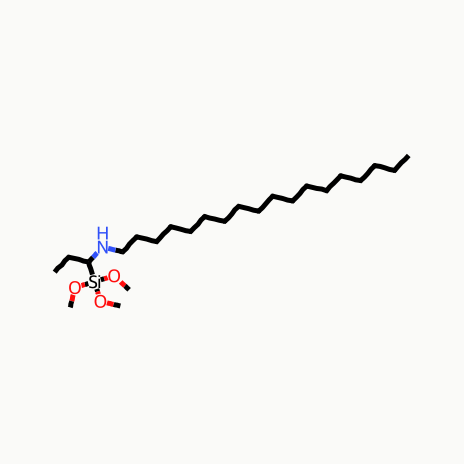 CCCCCCCCCCCCCCCCCCNC(CC)[Si](OC)(OC)OC